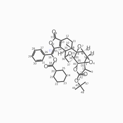 CC(C)[C@]12O[C@H]1[C@@H]1O[C@@]13[C@@]1(C)CCC4=C(/C(=C(\OC(=O)C5CCCCC5)c5ccccc5)OC4=O)[C@@H]1C1C[C@@]3(O1)[C@@H]2OC(=O)OC(C)(C)C